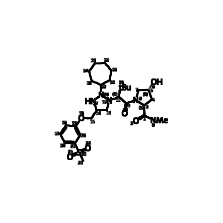 CNC(=O)[C@@H]1C[C@@H](O)CN1C(=O)[C@@H](N1CC(COc2cccc(S(C)(=O)=O)c2)NN1C1CCCCCC1)C(C)(C)C